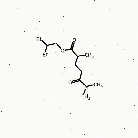 CCC(CC)COC(=O)C(C)CCC(=O)N(C)C